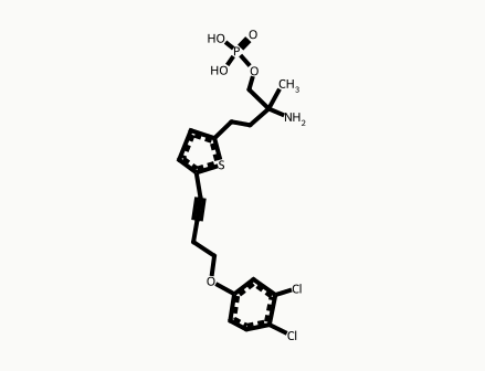 CC(N)(CCc1ccc(C#CCCOc2ccc(Cl)c(Cl)c2)s1)COP(=O)(O)O